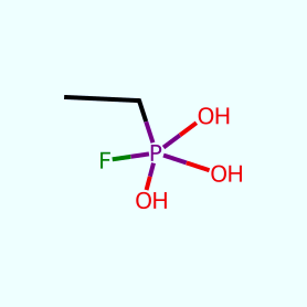 CCP(O)(O)(O)F